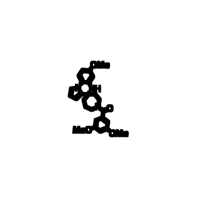 COc1cc(OC)cc(C(=O)N2CCCC3(CC2)Nc2cc(OC)ccc2-n2cccc23)c1